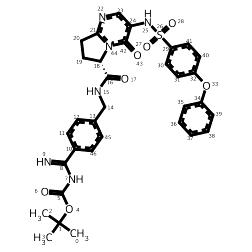 CC(C)(C)OC(=O)NC(=N)c1ccc(CNC(=O)[C@@H]2CCc3ncc(NS(=O)(=O)c4ccc(Oc5ccccc5)cc4)c(=O)n32)cc1